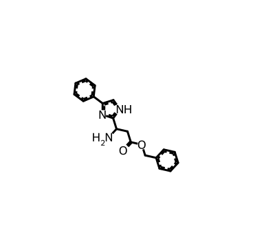 NC(CC(=O)OCc1ccccc1)c1nc(-c2ccccc2)c[nH]1